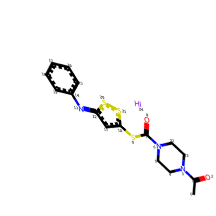 CC(=O)N1CCN(C(=O)Sc2c/c(=N/c3ccccc3)ss2)CC1.I